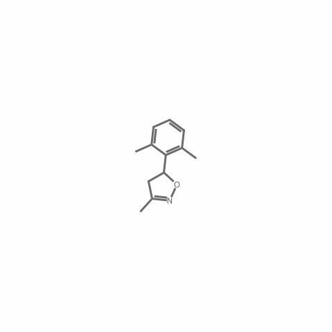 CC1=NOC(c2c(C)cccc2C)C1